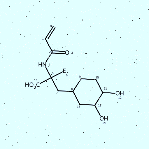 C=CC(=O)NC(CC)(CC1CCC(O)C(O)C1)C(=O)O